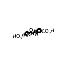 O=C(O)c1ccc(C(=O)Nc2nc3cc(C(=O)O)ccc3s2)nc1